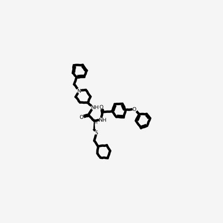 O=C(N[C@@H](CSCC1CCCCC1)C(=O)NC1CCN(Cc2ccccc2)CC1)c1ccc(Oc2ccccc2)cc1